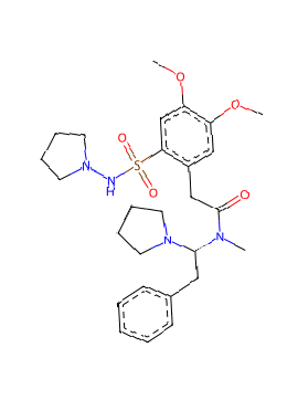 COc1cc(CC(=O)N(C)C(Cc2ccccc2)N2CCCC2)c(S(=O)(=O)NN2CCCC2)cc1OC